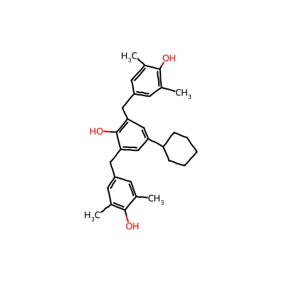 Cc1cc(Cc2cc(C3CCCCC3)cc(Cc3cc(C)c(O)c(C)c3)c2O)cc(C)c1O